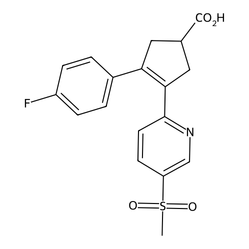 CS(=O)(=O)c1ccc(C2=C(c3ccc(F)cc3)CC(C(=O)O)C2)nc1